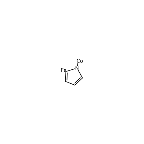 [Co][n]1cccc1.[Fe]